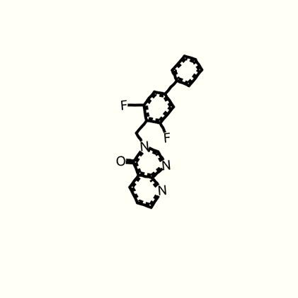 O=c1c2cccnc2ncn1Cc1c(F)cc(-c2ccccc2)cc1F